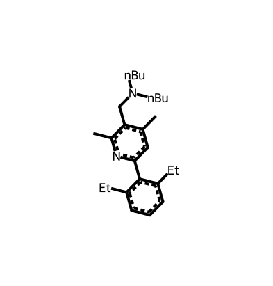 CCCCN(CCCC)Cc1c(C)cc(-c2c(CC)cccc2CC)nc1C